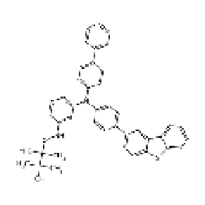 CC(C)(O)C(C)(C)ONc1cccc(N(c2ccc(-c3ccccc3)cc2)c2ccc(-c3ccc4sc5ccccc5c4c3)cc2)c1